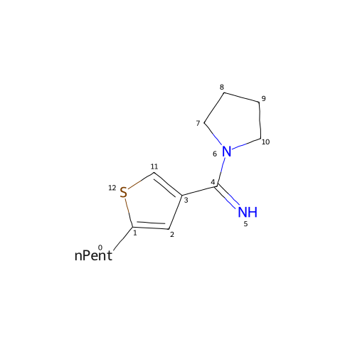 CCCCCc1cc(C(=N)N2CCCC2)cs1